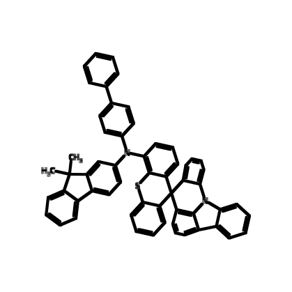 CC1(C)c2ccccc2-c2ccc(N(c3ccc(-c4ccccc4)cc3)c3cccc4c3Sc3ccccc3C43c4ccccc4-n4c5ccccc5c5cccc3c54)cc21